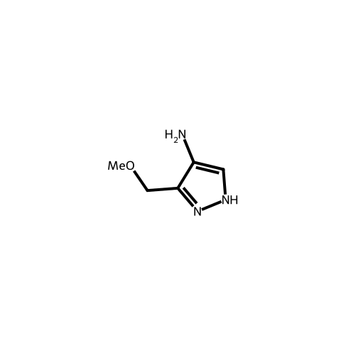 COCc1n[nH]cc1N